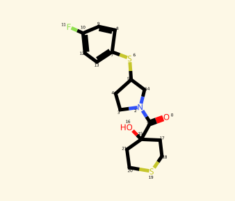 O=C(N1CCC(Sc2ccc(F)cc2)C1)C1(O)CCSCC1